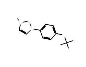 ON1C=CN(c2ccc(OC(F)(F)F)cc2)N1